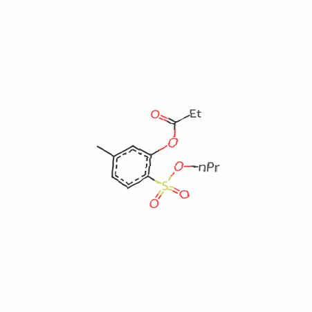 CCCOS(=O)(=O)c1ccc(C)cc1OC(=O)CC